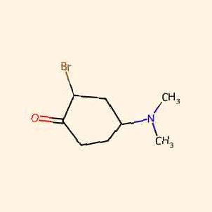 CN(C)C1CCC(=O)C(Br)C1